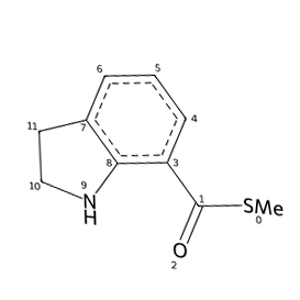 CSC(=O)c1cccc2c1NCC2